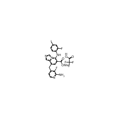 COC(=O)c1cc(Cc2ccnc(N)c2F)c2cncn2c1Nc1ccc(I)cc1F.O=C(O)C(F)(F)F